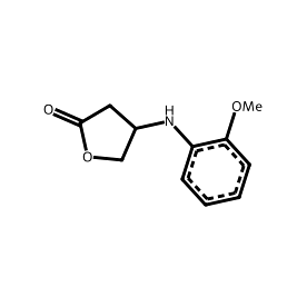 COc1ccccc1NC1COC(=O)C1